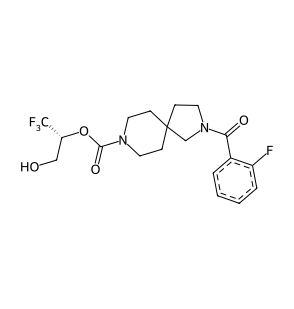 O=C(O[C@H](CO)C(F)(F)F)N1CCC2(CC1)CCN(C(=O)c1ccccc1F)C2